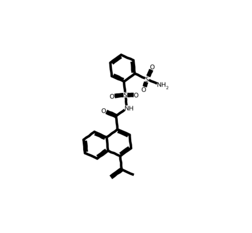 C=C(C)c1ccc(C(=O)NS(=O)(=O)c2ccccc2S(N)(=O)=O)c2ccccc12